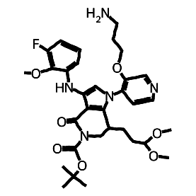 COc1c(F)cccc1Nc1cn(-c2ccncc2OCCCN)c2c1C(=O)N(C(=O)OC(C)(C)C)CC2CCC(OC)OC